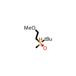 COCC[SH](C)(=O)C(C)(C)C